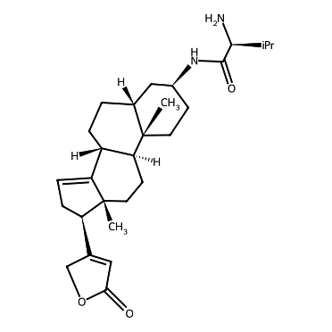 CC(C)[C@H](N)C(=O)N[C@H]1CC[C@@]2(C)[C@H](CC[C@H]3C4=CC[C@H](C5=CC(=O)OC5)[C@@]4(C)CC[C@@H]32)C1